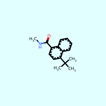 CNC(=O)c1ccc(C(C)(C)C)c2ccccc12